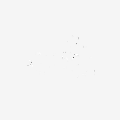 Cc1n[nH]c(C)c1-c1ccc(NC(=O)[C@@H](NC(=O)c2ccnn2C(C)C)[C@H]2CCOc3c(F)cccc32)cc1